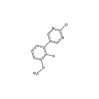 COc1cccc(-c2cnc(Cl)nc2)c1F